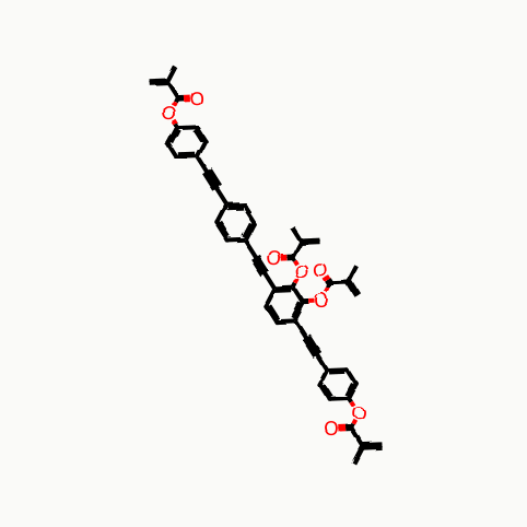 C=C(C)C(=O)Oc1ccc(C#Cc2ccc(C#Cc3ccc(C#Cc4ccc(OC(=O)C(=C)C)cc4)c(OC(=O)C(=C)C)c3OC(=O)C(=C)C)cc2)cc1